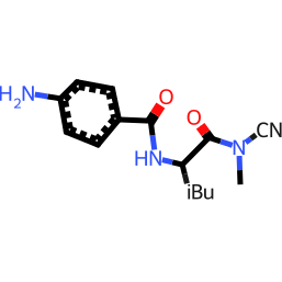 CCC(C)C(NC(=O)c1ccc(N)cc1)C(=O)N(C)C#N